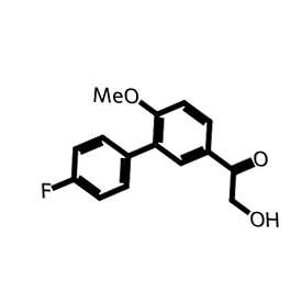 COc1ccc(C(=O)CO)cc1-c1ccc(F)cc1